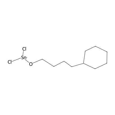 [Cl][Sn]([Cl])[O]CCCCC1CCCCC1